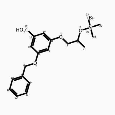 CC(COc1cc(OCc2ccccc2)cc(C(=O)O)c1)O[Si](C)(C)C(C)(C)C